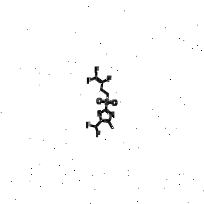 Cc1nc(S(=O)(=O)CCC(F)=C(F)F)sc1C(F)F